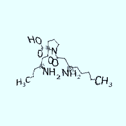 CCCCC[C@H](N)CC(=O)N1CCC[C@]1(C(=O)O)C(=O)C[C@@H](N)CCC